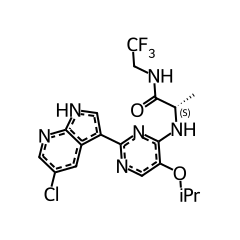 CC(C)Oc1cnc(-c2c[nH]c3ncc(Cl)cc23)nc1N[C@@H](C)C(=O)NCC(F)(F)F